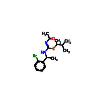 CC(=O)/N=C(/N[C@@H](C)c1ccccc1Br)SC(C)C(C)C